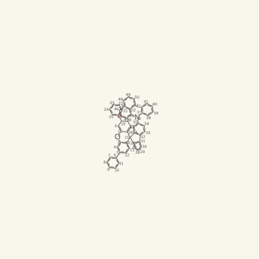 C1=C2Oc3cc(-c4ccccc4)ccc3C3(C2=CCC1c1ccccc1)c1ccccc1-c1ccc(N(c2ccccc2)c2cccc4ccccc24)cc13